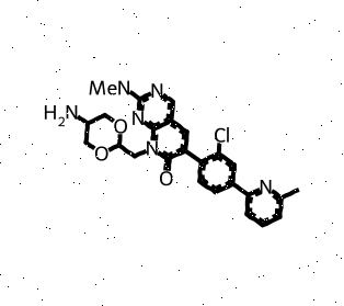 CNc1ncc2cc(-c3ccc(-c4cccc(C)n4)cc3Cl)c(=O)n(CC3OCC(N)CO3)c2n1